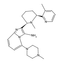 Cc1cccnc1[C@@H]1CCC[C@H](c2nc3cccc(N4CCN(C)CC4)n3c2N)N1C